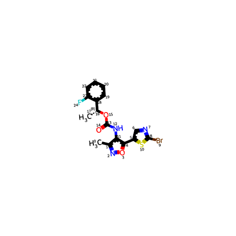 Cc1noc(-c2cnc(Br)s2)c1NC(=O)O[C@H](C)c1ccccc1F